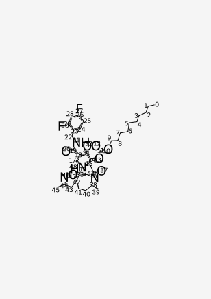 CCCCCCCCCCOC(=O)Oc1c2n(cc(C(=O)NCc3ccc(F)cc3F)c1=O)[C@@H]1CN(C2=O)[C@@H](C)CC[C@]12CC(C)=NO2